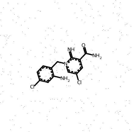 N=c1c(C(N)=O)cc(Cl)cn1Cc1ccc(Cl)cc1N